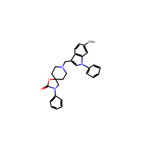 COc1ccc2c(CN3CCC4(CC3)CN(c3ccccc3)C(=O)O4)cn(-c3ccccc3)c2c1